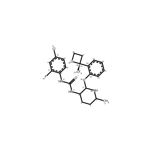 CC1CCC(NC(=O)Nc2ccc(Cl)cc2F)C(Oc2ccccc2[C@@]2(C(F)(F)F)CCO2)N1